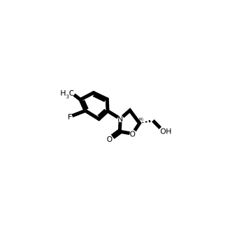 Cc1ccc(N2C[C@H](CO)OC2=O)cc1F